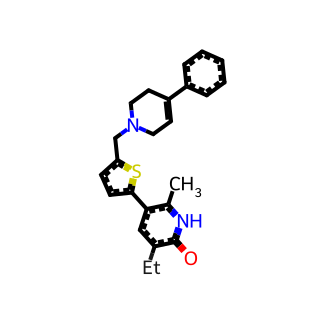 CCc1cc(-c2ccc(CN3CC=C(c4ccccc4)CC3)s2)c(C)[nH]c1=O